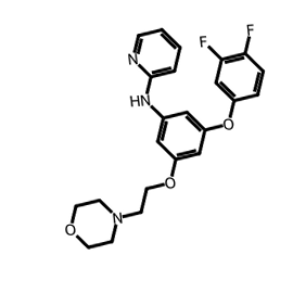 Fc1ccc(Oc2cc(Nc3ccccn3)cc(OCCN3CCOCC3)c2)cc1F